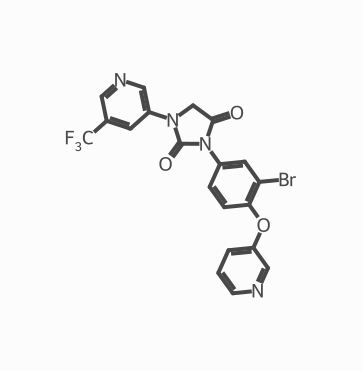 O=C1CN(c2cncc(C(F)(F)F)c2)C(=O)N1c1ccc(Oc2cccnc2)c(Br)c1